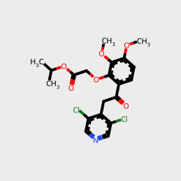 COc1ccc(C(=O)Cc2c(Cl)cncc2Cl)c(OCC(=O)OC(C)C)c1OC